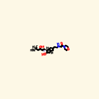 CCCC[C@H](C)C[C@H](O)/C=C/[C@@H]1[C@H]2CC(CCNCC(=O)N3CCOCC3)=C[C@H]2C[C@H]1O